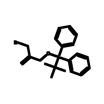 C=C(CBr)CO[Si](c1ccccc1)(c1ccccc1)C(C)(C)C